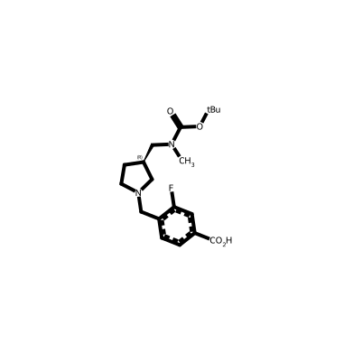 CN(C[C@@H]1CCN(Cc2ccc(C(=O)O)cc2F)C1)C(=O)OC(C)(C)C